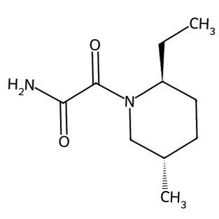 CC[C@H]1CC[C@H](C)CN1C(=O)C(N)=O